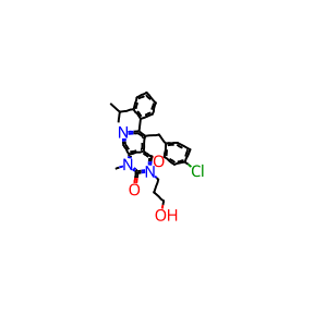 CC(C)c1ccccc1-c1ncc2c(c1Cc1ccc(Cl)cc1)c(=O)n(CCCO)c(=O)n2C